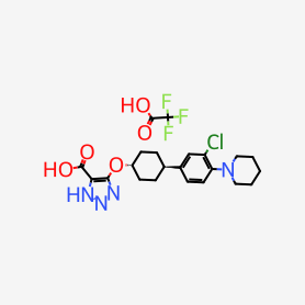 O=C(O)C(F)(F)F.O=C(O)c1[nH]nnc1O[C@H]1CC[C@H](c2ccc(N3CCCCC3)c(Cl)c2)CC1